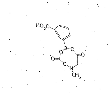 CN1CC(=O)OB(c2cccc(C(=O)O)c2)OC(=O)C1